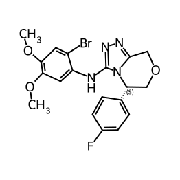 COc1cc(Br)c(Nc2nnc3n2[C@@H](c2ccc(F)cc2)COC3)cc1OC